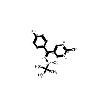 CC(C)(C)[S@+]([O-])/N=C(/c1ccc(F)cc1)c1cnc(Cl)nc1